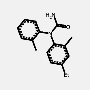 [CH2]Cc1ccc(N(C(N)=O)c2ccccc2C)c(C)c1